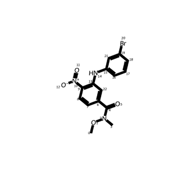 CON(C)C(=O)c1ccc([N+](=O)[O-])c(Nc2cccc(Br)c2)c1